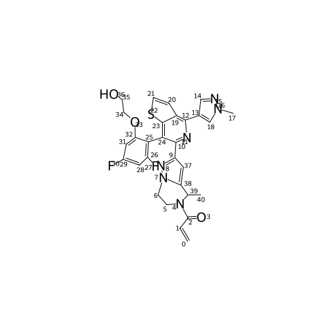 C=CC(=O)N1CCn2nc(-c3nc(-c4cnn(C)c4)c4ccsc4c3-c3c(F)cc(F)cc3OCCO)cc2C1C